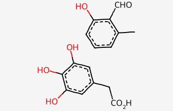 Cc1cccc(O)c1C=O.O=C(O)Cc1cc(O)c(O)c(O)c1